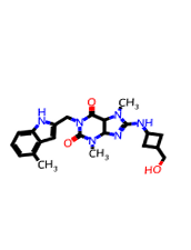 Cc1cccc2[nH]c(CN3C(=O)C4C(N=C(NC5CC(CO)C5)N4C)N(C)C3=O)cc12